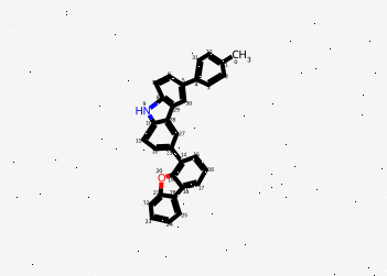 Cc1ccc(-c2ccc3[nH]c4ccc(-c5cccc6c5oc5ccccc56)cc4c3c2)cc1